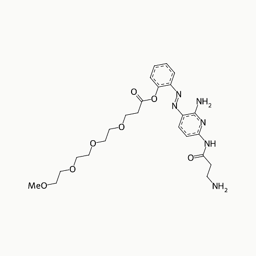 COCCOCCOCCOCCC(=O)Oc1ccccc1/N=N/c1ccc(NC(=O)CCN)nc1N